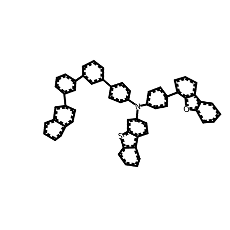 c1cc(-c2ccc(N(c3ccc(-c4cccc5c4oc4ccccc45)cc3)c3ccc4c(c3)sc3ccccc34)cc2)cc(-c2cccc(-c3ccc4ccccc4c3)c2)c1